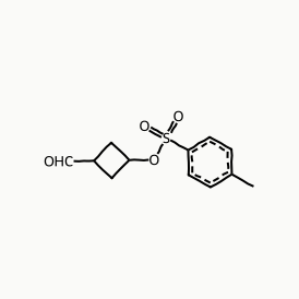 Cc1ccc(S(=O)(=O)OC2CC(C=O)C2)cc1